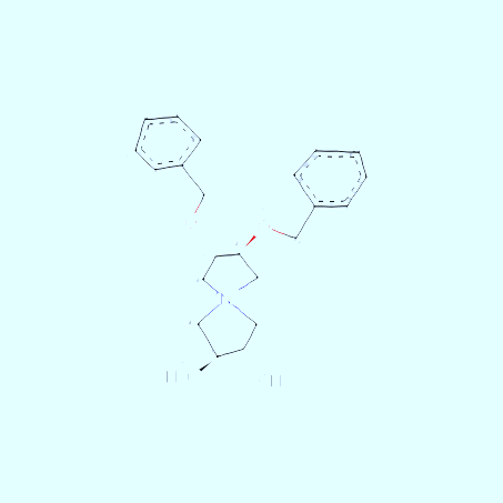 C[C@H]1C[N+]2(C[C@H](OCc3ccccc3)[C@@H](OCc3ccccc3)C2)C[C@@H]1C